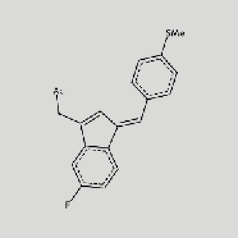 CSc1ccc(/C=C2\C=C(CC(C)=O)c3cc(F)ccc32)cc1